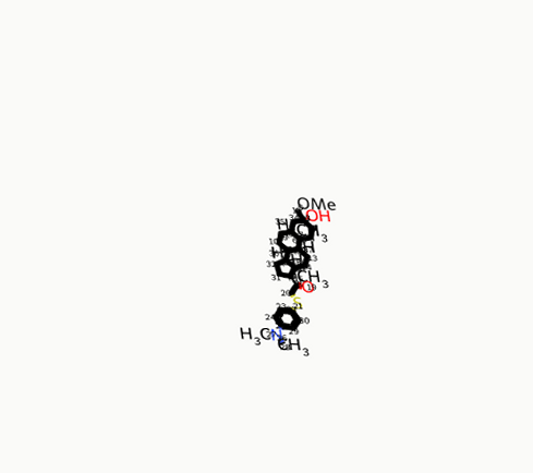 COC[C@@]1(O)CC[C@@]2(C)[C@@H](CC[C@@H]3[C@@H]2CC[C@]2(C)[C@@H](C(=O)CSc4ccc(N(C)C)cc4)CC[C@@H]32)C1